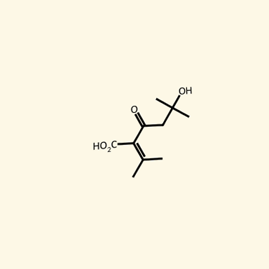 CC(C)=C(C(=O)O)C(=O)CC(C)(C)O